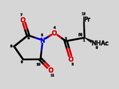 CC(=O)N[C@H](C(=O)ON1C(=O)CCC1=O)C(C)C